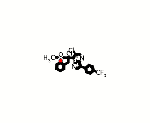 CC1OC(C(C)(Cc2ccccc2)c2c(Cl)cnc3c(-c4ccc(C(F)(F)F)cc4)cnn23)O1